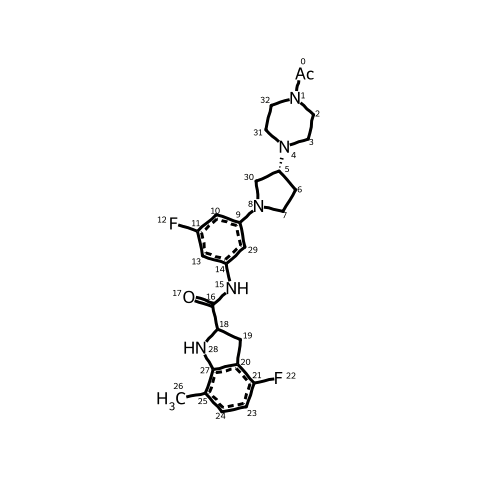 CC(=O)N1CCN([C@@H]2CCN(c3cc(F)cc(NC(=O)C4Cc5c(F)ccc(C)c5N4)c3)C2)CC1